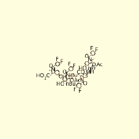 CCC(C)C(C(=O)O)c1c(C)n(C(=O)c2ccc(F)c(F)c2)c2ccc(O)cc12.CCCCc1c(O)ccc2c1c(OC(C)=O)c(C)n2C(=O)c1ccc(F)c(F)c1.CCCc1c(O)ccc2c1c(OC(C)=O)c(C)n2C(=O)c1ccc(F)c(F)c1.Cc1c(CC(=O)O)c2cc(O)ccc2n1C(=O)c1ccc(F)c(F)c1